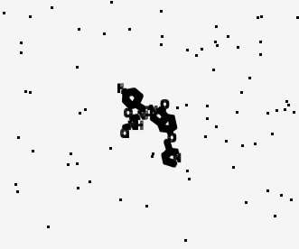 O=CNC(=O)N[C@@H](CN1Cc2cc(OCc3cccnc3)ccc2C1=O)c1ccc(F)cc1